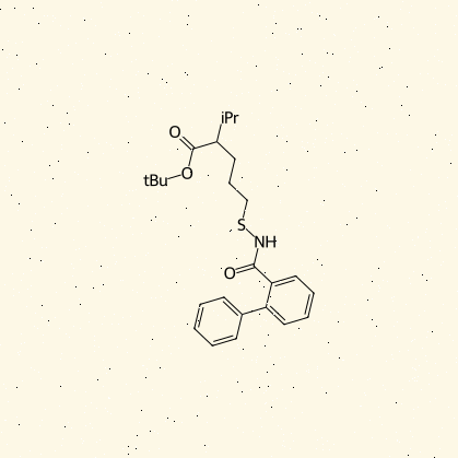 CC(C)C(CCCSNC(=O)c1ccccc1-c1ccccc1)C(=O)OC(C)(C)C